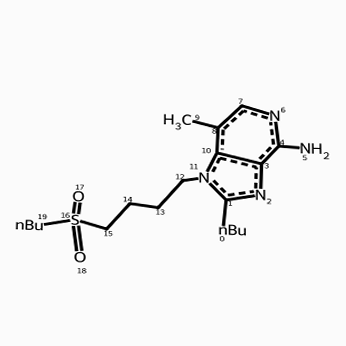 CCCCc1nc2c(N)ncc(C)c2n1CCCCS(=O)(=O)CCCC